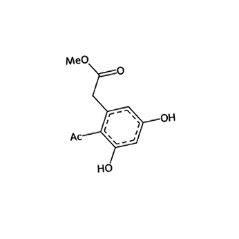 COC(=O)Cc1cc(O)cc(O)c1C(C)=O